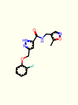 Cc1oncc1CNC(=O)c1cc(COc2ccccc2F)n[nH]1